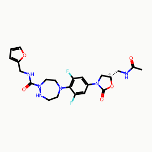 CC(=O)NC[C@H]1CN(c2cc(F)c(N3CCNN(C(=O)NCc4ccco4)CC3)c(F)c2)C(=O)O1